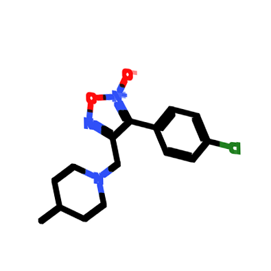 CC1CCN(Cc2no[n+]([O-])c2-c2ccc(Cl)cc2)CC1